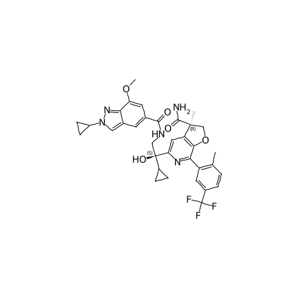 COc1cc(C(=O)NC[C@](O)(c2cc3c(c(-c4cc(C(F)(F)F)ccc4C)n2)OC[C@]3(C)C(N)=O)C2CC2)cc2cn(C3CC3)nc12